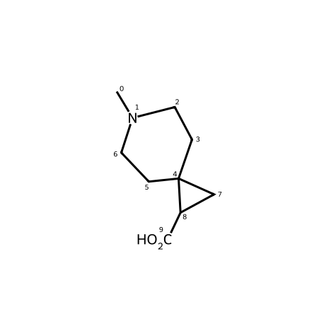 CN1CCC2(CC1)CC2C(=O)O